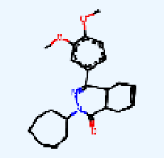 COc1ccc(C2=NN(C3CCCCCC3)C(=O)C3CC=CCC23)cc1OC